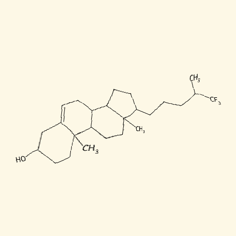 CC(CCCC1CCC2C3CC=C4CC(O)CCC4(C)C3CCC12C)C(F)(F)F